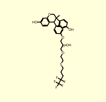 CC1(c2ccc(O)cc2)COc2cc(O)ccc2C1c1ccc(OC[C@@H](O)COCCSCCCC(F)(F)C(F)(F)F)cc1